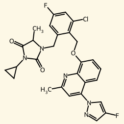 Cc1cc(-n2cc(F)cn2)c2cccc(OCc3c(Cl)cc(F)cc3CN3C(=O)N(C4CC4)C(=O)C3C)c2n1